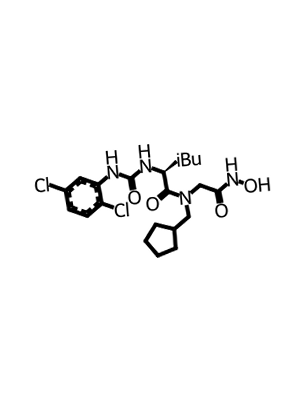 CCC(C)[C@H](NC(=O)Nc1cc(Cl)ccc1Cl)C(=O)N(CC(=O)NO)CC1CCCC1